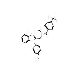 COc1ccc(-n2c(CN(C(=O)c3ccc(C(F)(F)F)cc3)C(C)C)nc3ccccc32)cc1